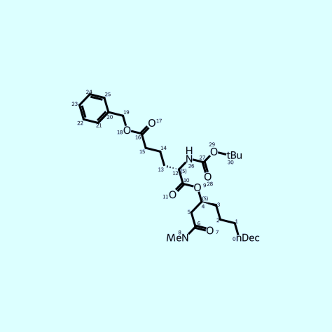 CCCCCCCCCCCCC[C@@H](CC(=O)NC)OC(=O)[C@H](CCCC(=O)OCc1ccccc1)NC(=O)OC(C)(C)C